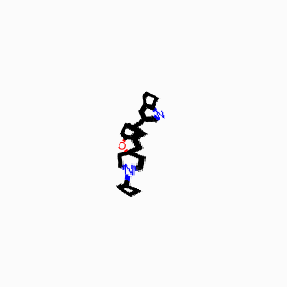 C1=Cc2cc(-c3ccc4c(c3)CC3(CCN(C5CCC5)CC3)O4)cnc2C1